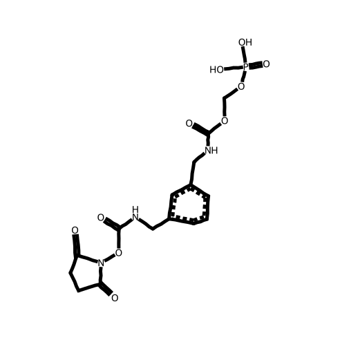 O=C(NCc1cccc(CNC(=O)ON2C(=O)CCC2=O)c1)OCOP(=O)(O)O